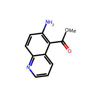 COC(=O)c1c(N)ccc2ncccc12